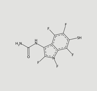 NC(=O)Nc1c(F)n(F)c2c(F)c(S)c(F)c(F)c12